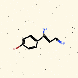 N=C/C=C(\N)c1ccc(Br)cc1